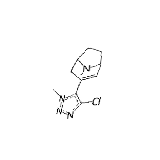 CN1C2C=C(c3c(Cl)nnn3C)CC1CC2